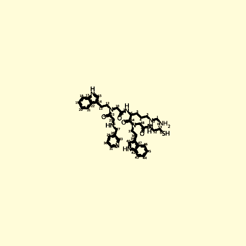 NCNCCCC(NC(=O)CN(CCc1c[nH]c2ccccc12)C(=O)CNCc1cccnc1)C(=O)N(CCc1c[nH]c2ccccc12)CC(=O)NCCS